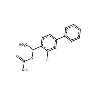 NC(=O)SC(C(=O)O)c1ccc(-c2ccccc2)cc1Cl